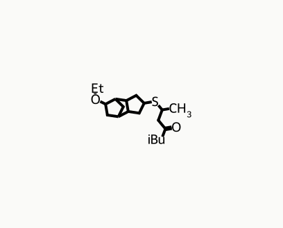 CCOC1CC2CC1C1CC(SC(C)CC(=O)C(C)CC)CC21